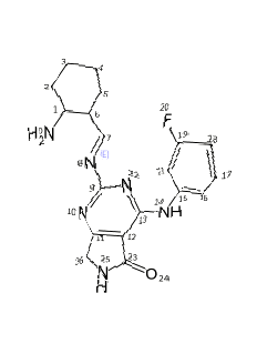 NC1CCCCC1/C=N/c1nc2c(c(Nc3cccc(F)c3)n1)C(=O)NC2